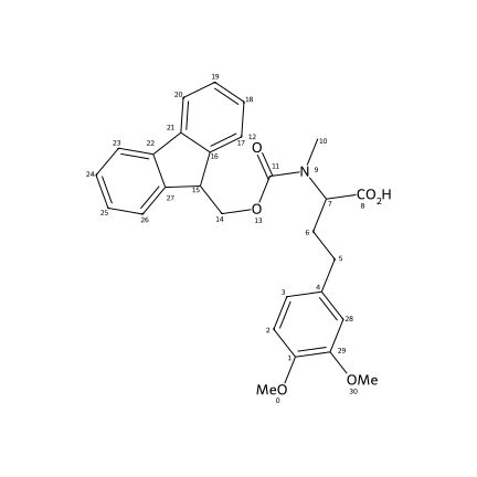 COc1ccc(CCC(C(=O)O)N(C)C(=O)OCC2c3ccccc3-c3ccccc32)cc1OC